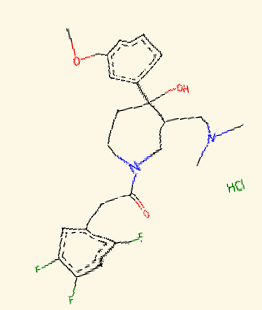 COc1cccc(C2(O)CCN(C(=O)Cc3cc(F)c(F)cc3F)CC2CN(C)C)c1.Cl